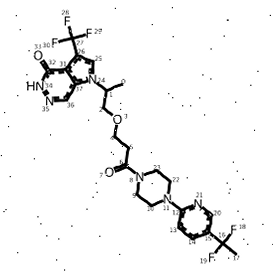 CC(COCCC(=O)N1CCN(c2ccc(C(C)(F)F)cn2)CC1)n1cc(C(F)(F)F)c2c(=O)[nH]ncc21